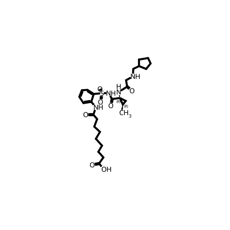 C[C@@H]1C[C@]1(NC(=O)CNCC1CCCC1)C(=O)NS(=O)(=O)c1ccccc1NC(=O)CCCCCCCC(=O)O